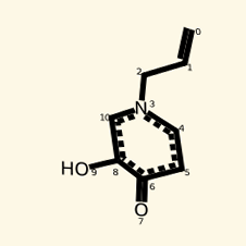 C=CCn1ccc(=O)c(O)c1